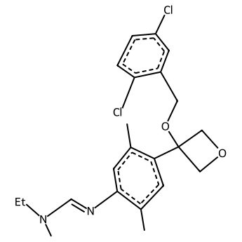 CCN(C)C=Nc1cc(C)c(C2(OCc3cc(Cl)ccc3Cl)COC2)cc1C